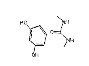 CNC(=O)NC.Oc1cccc(O)c1